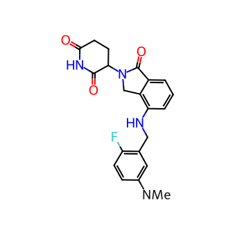 CNc1ccc(F)c(CNc2cccc3c2CN(C2CCC(=O)NC2=O)C3=O)c1